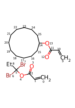 C=CC(=O)OC(Br)(Br)CC.C=CC(=O)OC1CCCCCCCCCCC1